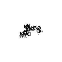 CC(C)(C)OC(=O)N1CCC2(CCN(c3ncncc3Oc3ccc(C(F)(F)F)c(F)c3Cl)C2)C1